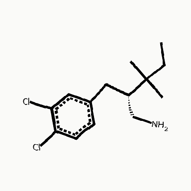 CCC(C)(C)[C@H](CN)Cc1ccc(Cl)c(Cl)c1